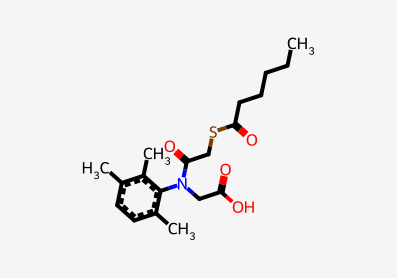 CCCCCC(=O)SCC(=O)N(CC(=O)O)c1c(C)ccc(C)c1C